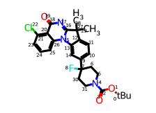 CC(C)(C)OC(=O)N1CCC(F)(c2ccc3c(c2)-n2c(nc(=O)c4c(Cl)cccc42)C3(C)C)CC1